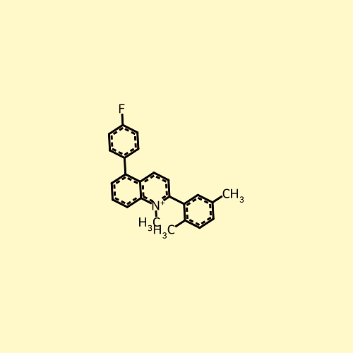 Cc1ccc(C)c(-c2ccc3c(-c4ccc(F)cc4)cccc3[n+]2C)c1